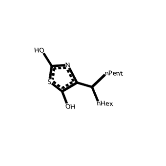 CCCCCCC(CCCCC)c1nc(O)sc1O